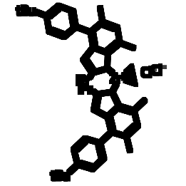 Cc1cc(C)c2c(c1-c1ccc(C(C)(C)C)cc1)C=C(C(C)C)[CH]2[Zr+2]1([CH]2C(C(C)C)=Cc3c(-c4ccc(C(C)(C)C)cc4)c(C)cc(C)c32)[CH2][CH2]1.[Cl-].[Cl-]